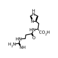 N=C(N)NCCC(=O)N[C@@H](Cc1c[nH]cn1)C(=O)O